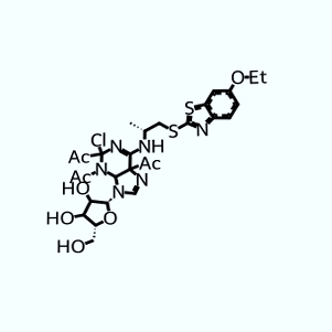 CCOc1ccc2nc(SC[C@@H](C)NC3=NC(Cl)(C(C)=O)N(C(C)=O)C4N([C@@H]5O[C@H](CO)C(O)C5O)C=NC34C(C)=O)sc2c1